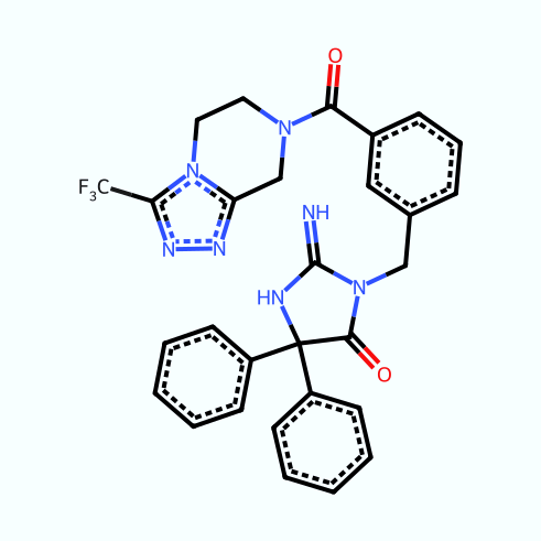 N=C1NC(c2ccccc2)(c2ccccc2)C(=O)N1Cc1cccc(C(=O)N2CCn3c(nnc3C(F)(F)F)C2)c1